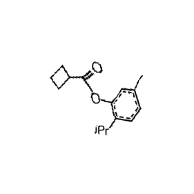 Cc1ccc(C(C)C)c(OC(=O)C2CCC2)c1